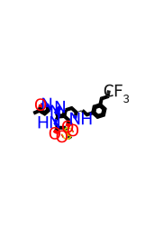 Cc1cc(-n2nc3c(c2NC(=O)CS(C)(=O)=O)C(=O)N[C@@H](CCc2cccc(CCC(F)(F)F)c2)C3)no1